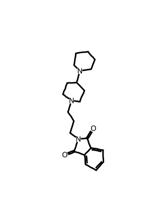 O=C1c2ccccc2C(=O)N1CCCN1CCC(N2CCCCC2)CC1